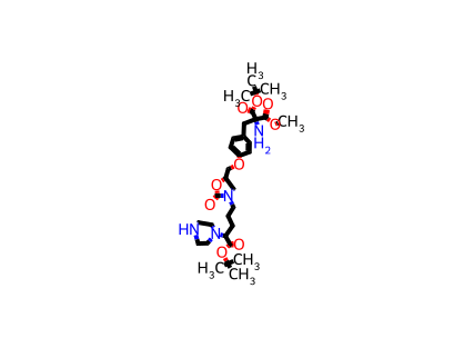 COC(=O)C(N)(Cc1ccc(OCC2CN(CCCC(C(=O)OC(C)(C)C)N3CCNCC3)C(=O)O2)cc1)C(=O)OC(C)(C)C